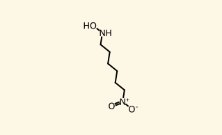 O=[N+]([O-])CCCCCCNO